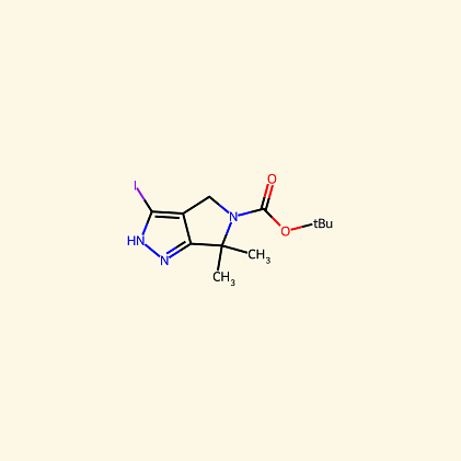 CC(C)(C)OC(=O)N1Cc2c(n[nH]c2I)C1(C)C